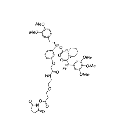 CC[C@H](C(=O)N1CCCC[C@H]1C(=O)O[C@H](CCc1ccc(OC)c(OC)c1)c1cccc(OCC(=O)NCCOCCC(=O)ON2C(=O)CCC2=O)c1)c1cc(OC)c(OC)c(OC)c1